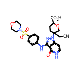 N#CCC1(n2nc(Nc3ccc(S(=O)(=O)N4CCOCC4)cc3)c3c(=O)[nH]ccc32)CCC(C(=O)O)OC1